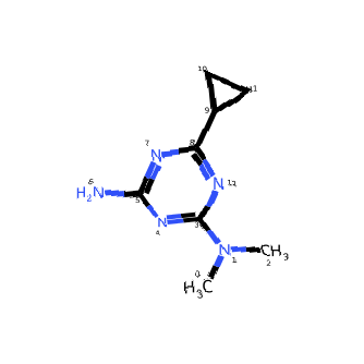 CN(C)c1nc(N)nc(C2CC2)n1